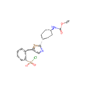 CC(C)OC(=O)N[C@H]1CC[C@H](c2ncc(-c3ccccc3S(=O)(=O)Cl)s2)CC1